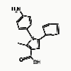 Cc1c(C(=O)O)cc(-c2ccccc2)n1-c1ccc(N)cc1